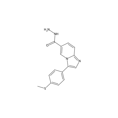 CSc1ccc(-c2cnc3ccc(C(=O)NN)cn23)cc1